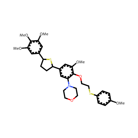 COc1ccc(SCCOc2c(OC)cc(C3CCC(c4cc(OC)c(OC)c(OC)c4)S3)cc2N2CCOCC2)cc1